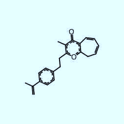 C=C(C)c1ccc(CCc2oc3c(c(=O)c2C)C=CC=CC3)cc1